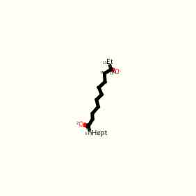 CCCCCCCC(=O)CCCCCCCCC(=O)CC